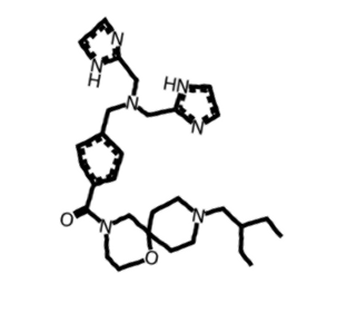 CCC(CC)CN1CCC2(CC1)CN(C(=O)c1ccc(CN(Cc3ncc[nH]3)Cc3ncc[nH]3)cc1)CCO2